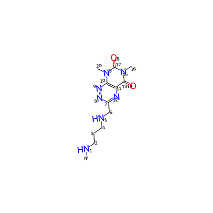 CNCCCNCc1nnc2c(n1)c(=O)n(C)c(=O)n2C